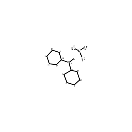 CCN(CC)CC.CN(C1CCCCC1)C1CCCCC1